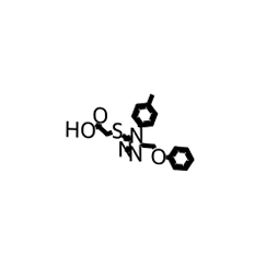 Cc1ccc(-n2c(COc3ccccc3)nnc2SCC(=O)O)cc1